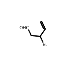 C=CC(CC)C[C]=O